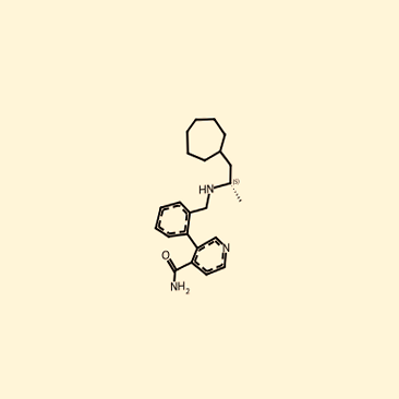 C[C@@H](CC1CCCCCC1)NCc1ccccc1-c1cnccc1C(N)=O